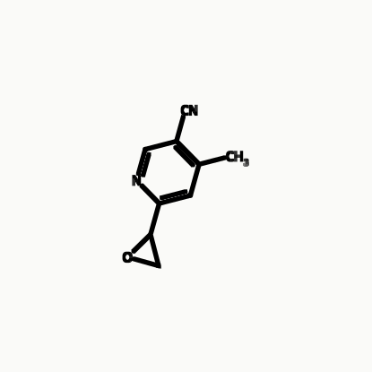 Cc1cc(C2CO2)ncc1C#N